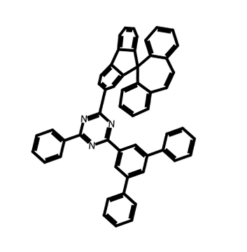 C1=Cc2ccccc2C2(c3ccccc31)c1ccccc1-c1ccc(-c3nc(-c4ccccc4)nc(-c4cc(-c5ccccc5)cc(-c5ccccc5)c4)n3)cc12